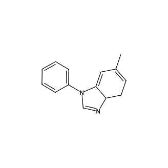 CC1=CCC2N=CN(c3ccccc3)C2=C1